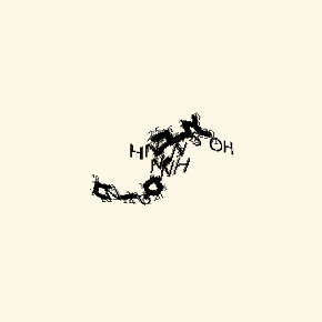 Cc1cc(-c2nc(Nc3ccc(OCCN4CCCC4)cc3)nc3[nH]ccc23)sc1CO